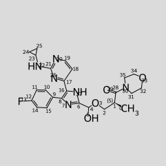 C[C@@H](COC(O)c1nc(-c2ccc(F)cc2)c(-c2ccnc(NC3CC3)n2)[nH]1)C(=O)N1CCOCC1